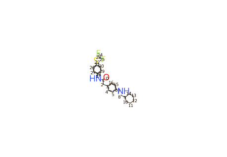 O=C(Cc1ccc(NCC2CCCCC2)cc1)Nc1ccc(SC(F)F)cc1